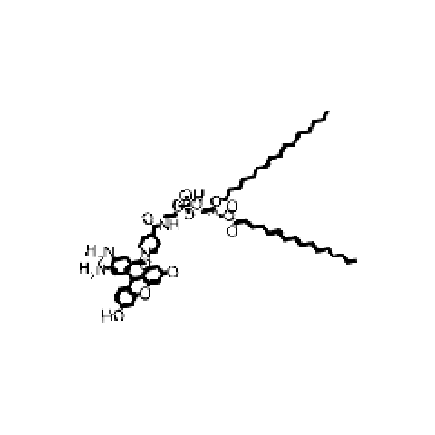 CCCCCCCCCCCCCCCC(=O)OC[C@H](COP(=O)(O)OCCNC(=O)C1CCN(C(=O)c2cc(N)c(N)cc2-c2c3ccc(=O)cc-3oc3cc(O)ccc23)CC1)OC(=O)CCCCCCCCCCCCCCC